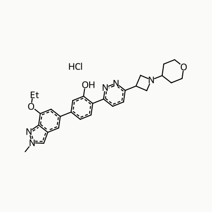 CCOc1cc(-c2ccc(-c3ccc(C4CN(C5CCOCC5)C4)nn3)c(O)c2)cc2cn(C)nc12.Cl